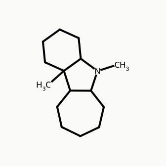 CN1C2CCCCCC2C2(C)CCCCC12